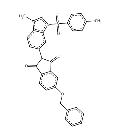 Cc1ccc(S(=O)(=O)n2cc(C)c3ccc(C4C(=O)c5ccc(OCc6ccccc6)cc5C4=O)cc32)cc1